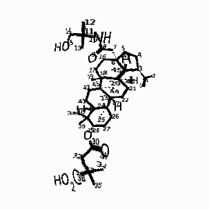 C=C(C)[C@@H]1CC[C@]2(CC(=O)NC(C)(C)CO)CC[C@]3(C)[C@H](CC[C@@H]4[C@@]5(C)CC[C@H](OC(=O)CC(C)(C)C(=O)O)C(C)(C)[C@@H]5CC[C@]43C)[C@@H]12